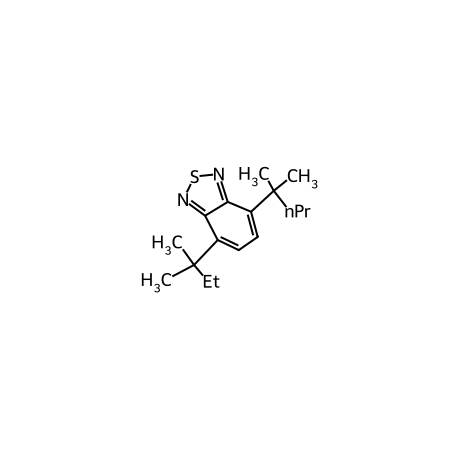 CCCC(C)(C)c1ccc(C(C)(C)CC)c2nsnc12